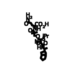 CC(C)Sc1c(OCC(C)(C)C(=O)N[C@@H](CCC(N)=O)C(=O)O)noc1C(=O)NC(C)C1CC2CCCC(C2)C1